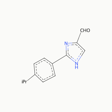 CC(C)c1ccc(-c2nc(C=O)c[nH]2)cc1